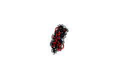 CC(C)(C)c1ccc2c(c1)C1(c3ccccc3Oc3ccc(N(c4ccc5c(c4)C4(c6ccccc6Oc6ccccc64)c4ccccc4-5)c4ccccc4-c4cccc5ccccc45)cc31)c1cc(C(C)(C)C)ccc1-2